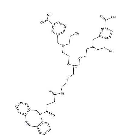 O=C(CCC(=O)N1Cc2ccccc2/C=C\c2ccccc21)NCCSC[C@H](COCCN(CCO)Cc1cccc(C(=O)O)n1)OCCN(CCO)Cc1cccc(C(=O)O)n1